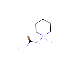 CC[N+]1(NC(N)=S)CCCCC1